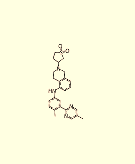 Cc1cnc(-c2cc(Nc3cccc4c3CCN(C3CCS(=O)(=O)C3)C4)ccc2C)nc1